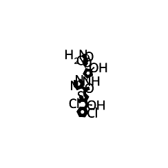 NS(=O)(=O)OC[C@H]1C[C@@H](Nc2ncncc2C(=O)c2cc([C@@H](O)c3ccccc3Cl)c(Cl)s2)C[C@@H]1O